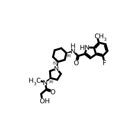 Cc1ccc(F)c2cc(C(=O)N[C@@H]3CCC[C@H](N4CC[C@@H](N(C)C(=O)CO)C4)C3)[nH]c12